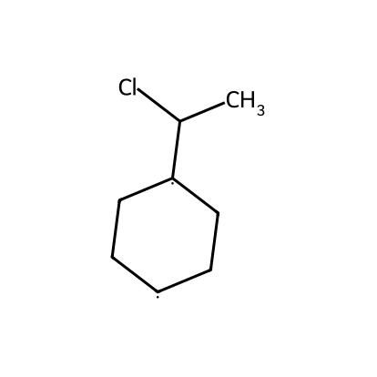 CC(Cl)[C]1CC[CH]CC1